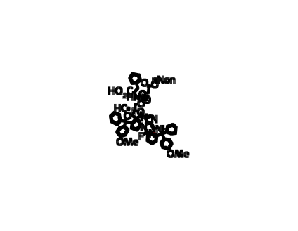 C#C[C@]1(COP(=O)(NC(Cc2ccccc2)C(=O)O)OCC(=O)OCCCCCCCCC)O[C@@H](n2cnc3c(NC(c4ccccc4)(c4ccccc4)c4ccc(OC)cc4)nc(F)nc32)C[C@@H]1OC(c1ccccc1)(c1ccccc1)c1ccc(OC)cc1